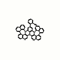 N#Cc1ccccc1-c1cc2c3c(c1)-n1c4cccc5cccc(c6cccc7ncc(c1c76)B3c1cnc3cccc6c7cccc8cccc(c87)n-2c1c36)c54